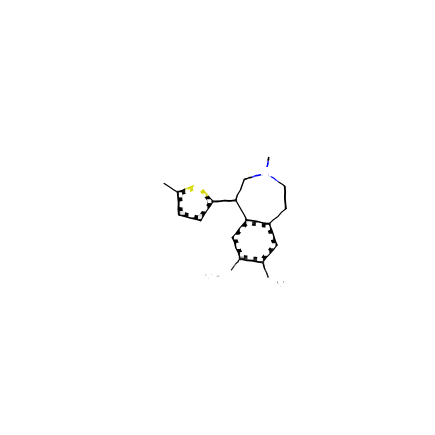 COc1cc2c(cc1OC)C(c1ccc(C)s1)CN(C)CC2